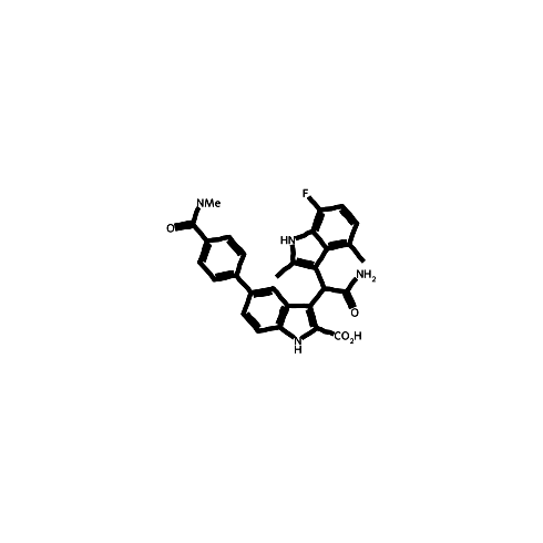 CNC(=O)c1ccc(-c2ccc3[nH]c(C(=O)O)c(C(C(N)=O)c4c(C)[nH]c5c(F)ccc(C)c45)c3c2)cc1